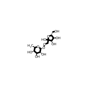 C[C@H]1O[C@H](OOCC2(O)O[C@H](CO)[C@@H](O)[C@@H]2O)[C@H](O)[C@@H](O)[C@@H]1O